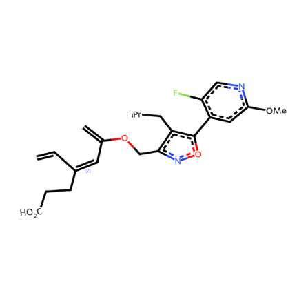 C=C/C(=C\C(=C)OCc1noc(-c2cc(OC)ncc2F)c1CC(C)C)CCC(=O)O